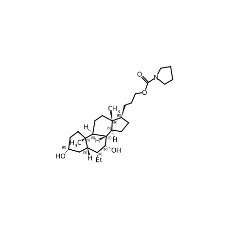 CC[C@H]1[C@@H](O)[C@@H]2[C@H](CC[C@]3(C)[C@@H](CCCOC(=O)N4CCCC4)CC[C@@H]23)[C@@]2(C)CC[C@@H](O)C[C@@H]12